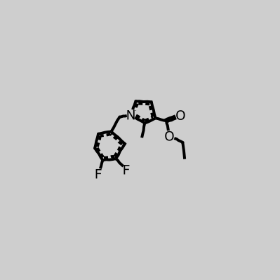 CCOC(=O)c1ccn(Cc2ccc(F)c(F)c2)c1C